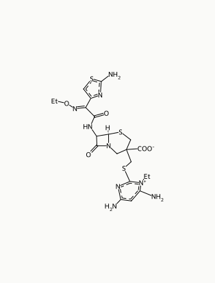 CCON=C(C(=O)NC1C(=O)N2CC(CSc3nc(N)cc(N)[n+]3CC)(C(=O)[O-])CS[C@H]12)c1csc(N)n1